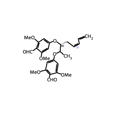 C=C/C=C\C[C@@H](Oc1cc(OC)c(C=O)c(OC)c1)C(C)Oc1cc(OC)c(C=O)c(OC)c1